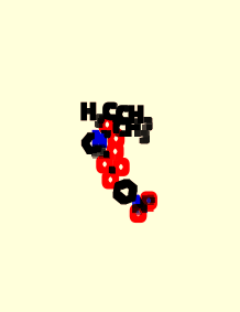 CC(C)(C)OC(=O)N1CCC[C@H]1C(=O)OC(=O)Oc1ccc([N+](=O)[O-])cc1